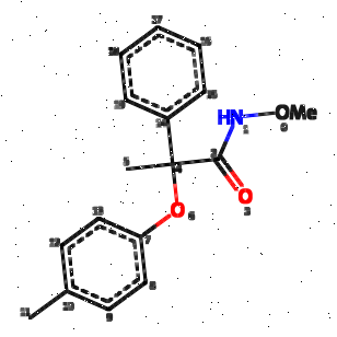 CONC(=O)C(C)(Oc1ccc(C)cc1)c1ccccc1